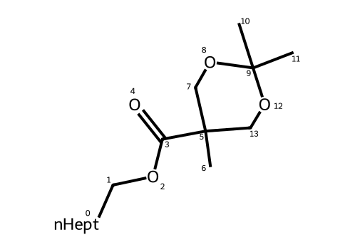 CCCCCCCCOC(=O)C1(C)COC(C)(C)OC1